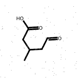 CC(C[C]=O)CC(=O)O